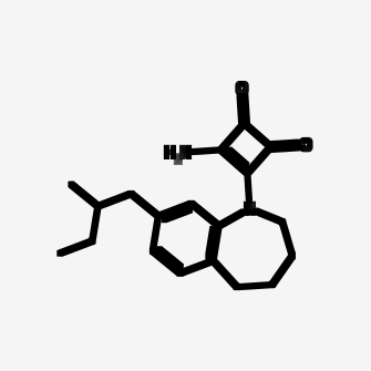 CCC(C)Cc1ccc2c(c1)N(c1c(N)c(=O)c1=O)CCCC2